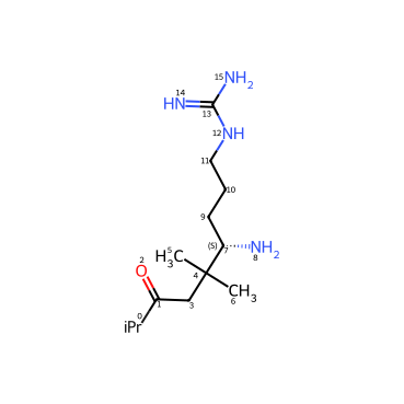 CC(C)C(=O)CC(C)(C)[C@@H](N)CCCNC(=N)N